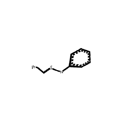 CC(C)CS[N]c1ccccc1